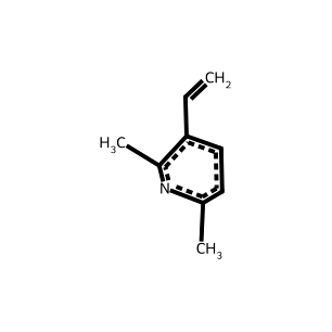 C=Cc1ccc(C)nc1C